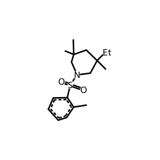 CCC1(C)CN(S(=O)(=O)c2ccccc2C)CC(C)(C)C1